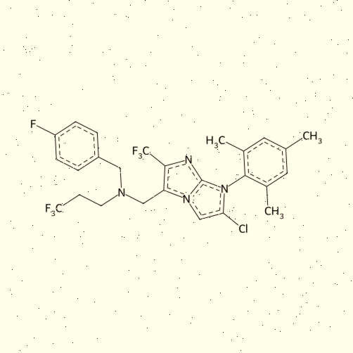 Cc1cc(C)c(-n2c(Cl)cn3c(CN(CCC(F)(F)F)Cc4ccc(F)cc4)c(C(F)(F)F)nc23)c(C)c1